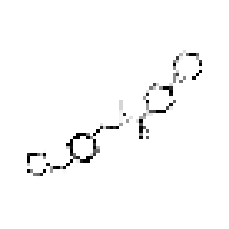 O=C(NCCc1ccc(CN2CCCC2)cc1)N1CCC(N2CCCCC2)CC1